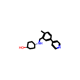 Cc1ccc(-c2ccncc2)cc1CN[C@H]1CC[C@H](O)CC1